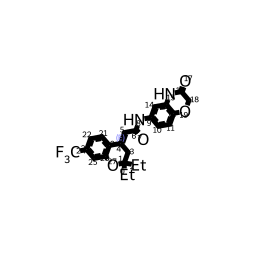 CCC1(CC)C/C(=C\C(=O)Nc2ccc3c(c2)NC(=O)CO3)c2ccc(C(F)(F)F)cc2O1